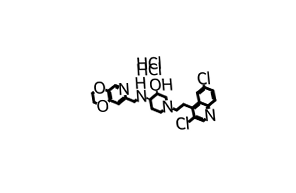 Cl.Cl.O[C@H]1CN(CCc2c(Cl)cnc3ccc(Cl)cc23)CC[C@H]1NCc1cc2c(cn1)OCCO2